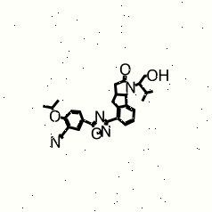 CC(C)Oc1ccc(-c2nc(-c3cccc4c3CC3CC(=O)N(C(CO)C(C)C)C43)no2)cc1C#N